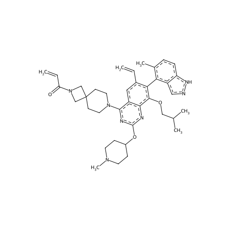 C=CC(=O)N1CC2(CCN(c3nc(OC4CCN(C)CC4)nc4c(OCC(C)C)c(-c5c(C)ccc6[nH]ncc56)c(C=C)cc34)CC2)C1